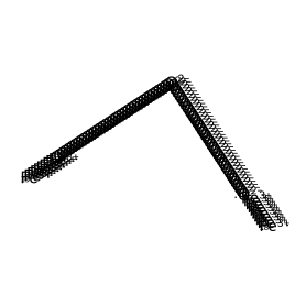 [Fe+3].[Fe+3].[Fe+3].[Fe+3].[Fe+3].[Fe+3].[Fe+3].[Fe+3].[Fe+3].[Fe+3].[Fe+3].[Fe+3].[Fe+3].[Fe+3].[Fe+3].[Fe+3].[Fe+3].[Fe+3].[Fe+3].[Fe+3].[O-2].[O-2].[O-2].[O-2].[O-2].[O-2].[O-2].[O-2].[O-2].[O-2].[O-2].[O-2].[O-2].[O-2].[O-2].[O-2].[O-2].[O-2].[O-2].[O-2].[O-2].[O-2].[O-2].[O-2].[O-2].[O-2].[O-2].[O-2].[O-2].[O-2].[O-2].[O-2].[O-2].[O-2].[O-2].[O-2].[O-2].[O-2].[O-2].[O-2].[O-2].[O-2].[O-2].[O-2].[O-2].[O-2].[O-2].[O-2].[O-2].[O-2].[O-2].[O-2].[O-2].[O-2].[O-2].[O-2].[O-2].[O-2].[O-2].[O-2].[O-2].[O-2].[O-2].[O-2].[O-2].[O-2].[O-2].[O-2].[O-2].[O-2].[O-2].[O-2].[O-2].[O-2]